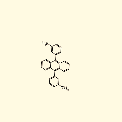 Bc1cccc(-c2c3ccccc3c(-c3cccc(C)c3)c3ccccc23)c1